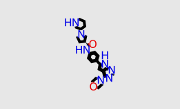 O=C(Nc1ccc(-c2cc3c(N4CCOCC4)ncnc3[nH]2)cc1)[C@@H]1CCN(C2CCCNC2)C1